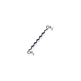 [CH2]CC/C=C/C=C/C=C/C=C/C=C/CCC